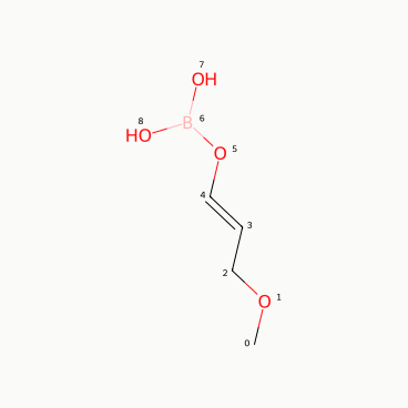 COCC=COB(O)O